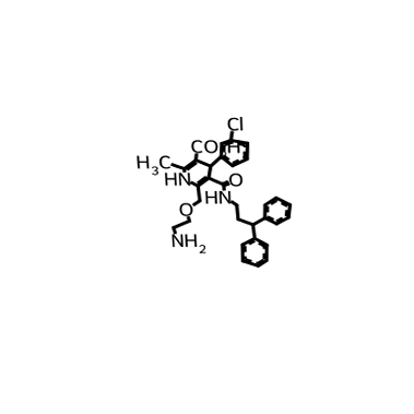 CC1=C(C(=O)O)C(c2cccc(Cl)c2)C(C(=O)NCCC(c2ccccc2)c2ccccc2)=C(COCCN)N1